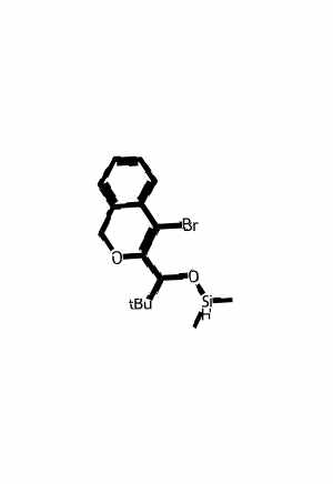 C[SiH](C)OC(C1=C(Br)c2ccccc2CO1)C(C)(C)C